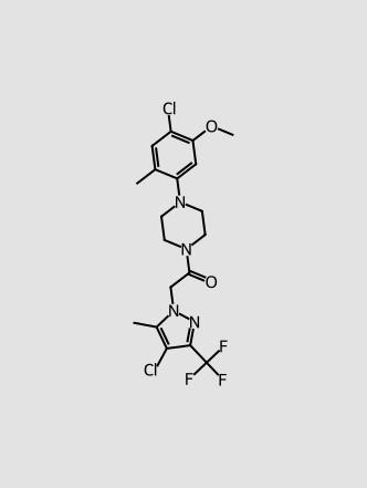 COc1cc(N2CCN(C(=O)Cn3nc(C(F)(F)F)c(Cl)c3C)CC2)c(C)cc1Cl